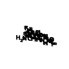 C=CC(=O)N1CCN2Cc3cc(Cl)c(-c4ccc(F)c5sc(N)nc45)c(Cl)c3OC[C@H]2C1